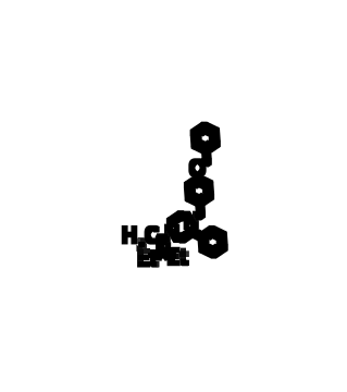 CCN(CC)C(C)N1CCN(Cc2ccc(OCc3ccccc3)cc2)C(c2ccccc2)C1